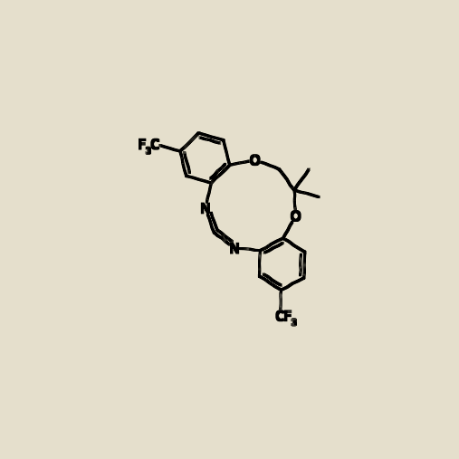 CC1(C)COc2ccc(C(F)(F)F)cc2N=C=Nc2cc(C(F)(F)F)ccc2O1